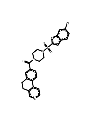 O=C(c1ccc2c(c1)CCc1cnccc1-2)N1CCN(S(=O)(=O)c2cc3ccc(Cl)cc3s2)CC1